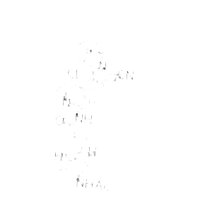 CC(=O)N[C@@H]1C[C@@H]2C[C@@H](C(=O)Nc3cc(-c4cc(C#N)n5c4CC(C)(C)C5)c(Cl)cn3)C[C@@H]2C1